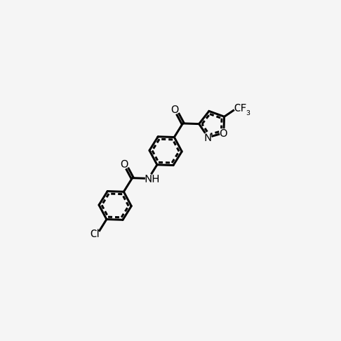 O=C(Nc1ccc(C(=O)c2cc(C(F)(F)F)on2)cc1)c1ccc(Cl)cc1